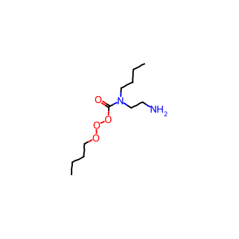 CCCCOOOC(=O)N(CCN)CCCC